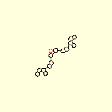 c1ccc2c(c1)ccc1cc(-c3ccc4ccc(-c5ccc6oc7ccc(-c8ccc9ccc(-c%10cc%11ccc%12ccccc%12c%11c%11ccccc%10%11)cc9c8)cc7c6c5)cc4c3)c3ccccc3c12